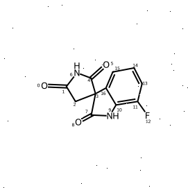 O=C1CC2(C(=O)N1)C(=O)Nc1c(F)cccc12